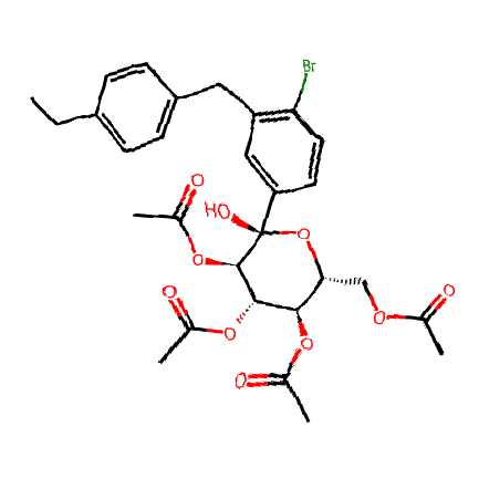 CCc1ccc(Cc2cc([C@]3(O)O[C@H](COC(C)=O)[C@@H](OC(C)=O)[C@H](OC(C)=O)[C@H]3OC(C)=O)ccc2Br)cc1